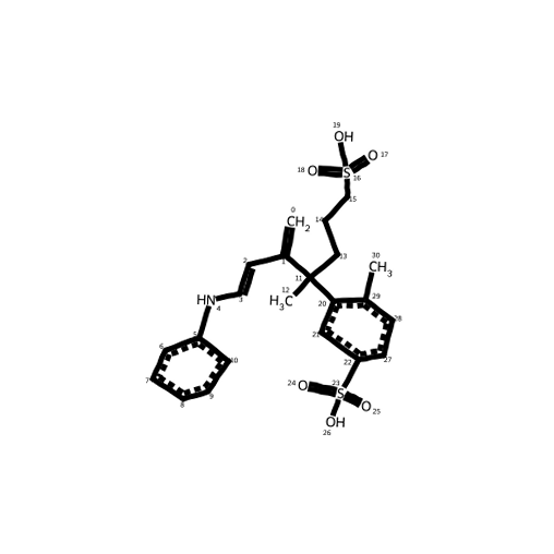 C=C(/C=C/Nc1ccccc1)C(C)(CCCS(=O)(=O)O)c1cc(S(=O)(=O)O)ccc1C